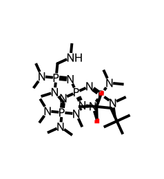 CNCP(=NP(=NC(C)(C)CC(C)(C)C)(N=P(N(C)C)(N(C)C)N(C)C)N=P(N(C)C)(N(C)C)N(C)C)(N(C)C)N(C)C